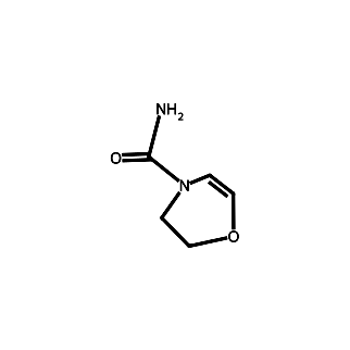 NC(=O)N1C=COCC1